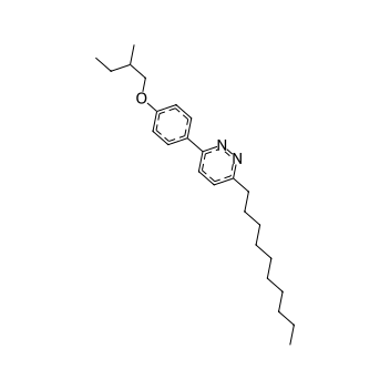 CCCCCCCCCCc1ccc(-c2ccc(OCC(C)CC)cc2)nn1